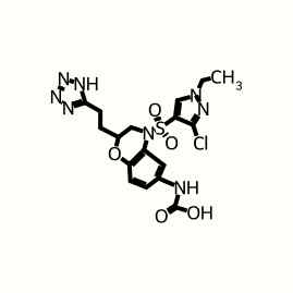 CCn1cc(S(=O)(=O)N2CC(CCc3nnn[nH]3)Oc3ccc(NC(=O)O)cc32)c(Cl)n1